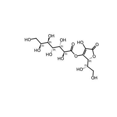 O=C1O[C@H]([C@@H](O)CO)C(OC(=O)[C@@H](O)[C@@H](O)[C@H](O)[C@H](O)[C@@H](O)CO)=C1O